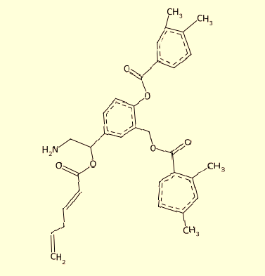 C=CCC=CC(=O)OC(CN)c1ccc(OC(=O)c2ccc(C)c(C)c2)c(COC(=O)c2ccc(C)cc2C)c1